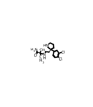 CC(C)(NCC[C@]1(c2ccc(Cl)c(Cl)c2)CCCNC1)C(N)=O